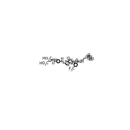 CCOP(=O)(OCC)OCCCCNC(=O)c1ccc(C(F)(F)F)cc1Nc1nc(=O)c2nc(CNc3ccc(C(=O)N[C@@H](CCC(=O)O)C(=O)O)cc3)cnc2[nH]1